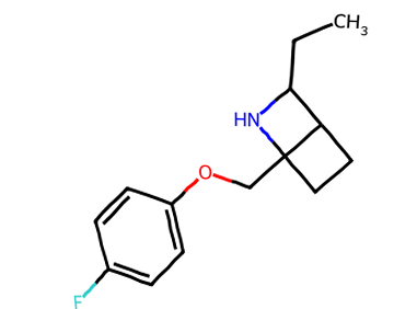 CCC1NC2(COc3ccc(F)cc3)CCC12